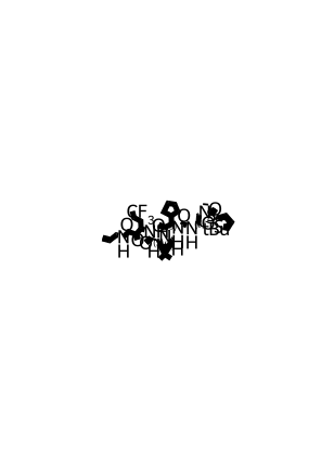 C=CCNC(=O)C(=O)C(CCC(F)(F)F)NC(=O)[C@@H]1[C@@H]2[C@H](CN1C(=O)[C@@H](NC(=O)N[C@H](CN(C)S(=O)(=O)c1cccs1)C(C)(C)C)C1CCCC1)C2(C)C